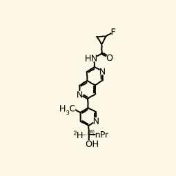 [2H][C@@](O)(CCC)c1cc(C)c(-c2cc3cnc(NC(=O)C4CC4F)cc3cn2)cn1